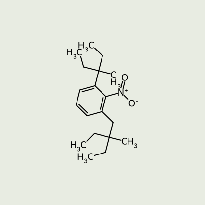 CCC(C)(CC)Cc1cccc(C(C)(CC)CC)c1[N+](=O)[O-]